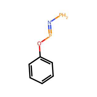 PN=POc1ccccc1